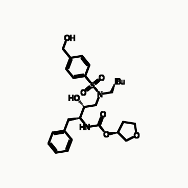 CC[C@H](C)CN(C[C@@H](O)[C@H](Cc1ccccc1)NC(=O)O[C@H]1CCOC1)S(=O)(=O)c1ccc(CO)cc1